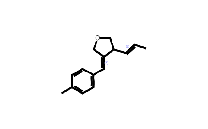 C/C=C/C1COC/C1=C\c1ccc(C)cc1